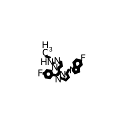 CCCNc1nccc(-c2c(-c3ccc(F)cc3)nc3n2C(Cn2ccc4cc(F)ccc42)CC3)n1